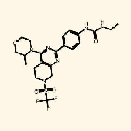 CCNC(=O)Nc1ccc(-c2nc3c(c(N4CCOCC4C)n2)CCN(S(=O)(=O)C(F)(F)F)C3)cc1